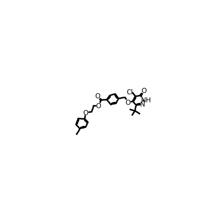 Cc1ccc(OCCOC(=O)c2ccc(COc3c(C(C)(C)C)n[nH]c(=O)c3Cl)cc2)cc1